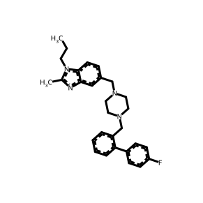 CCCn1c(C)nc2cc(CN3CCN(Cc4ccccc4-c4ccc(F)cc4)CC3)ccc21